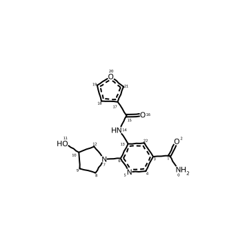 NC(=O)c1cnc(N2CCC(O)C2)c(NC(=O)c2ccoc2)c1